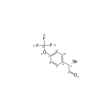 O=C[C@@H](Br)c1ccc(OC(F)(F)F)cc1